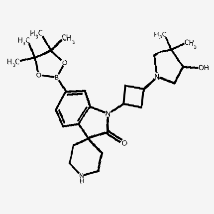 CC1(C)CN(C2CC(N3C(=O)C4(CCNCC4)c4ccc(B5OC(C)(C)C(C)(C)O5)cc43)C2)CC1O